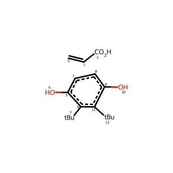 C=CC(=O)O.CC(C)(C)c1c(O)ccc(O)c1C(C)(C)C